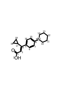 O=C(O)C=C(c1ccc(N2CCCCC2)cc1)C1CC1